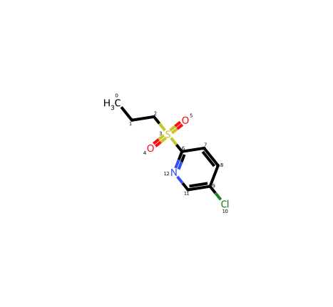 CCCS(=O)(=O)c1ccc(Cl)cn1